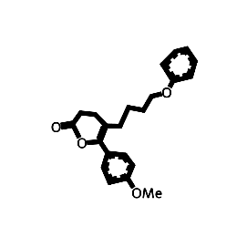 COc1ccc(C2=C(CCCCOc3ccccc3)CCC(=O)O2)cc1